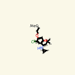 COCCCOc1cc2c(cc1Cl)C(NC1CC1)=CC(C)(C)O2